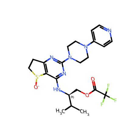 CC(C)[C@H](COC(=O)C(F)(F)F)Nc1nc(N2CCN(c3ccncc3)CC2)nc2c1[S+]([O-])CC2